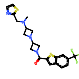 CN(Cc1nccs1)C1CN(C2CN(C(=O)c3cc4ccc(C(F)(F)F)cc4s3)C2)C1